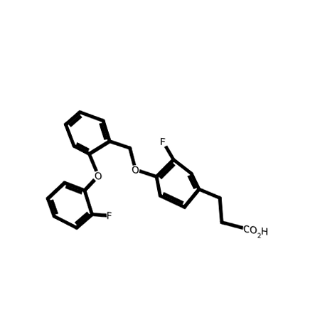 O=C(O)CCc1ccc(OCc2ccccc2Oc2ccccc2F)c(F)c1